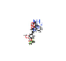 CCOc1cc([C@@H]2CC(=O)N([C@]3(CCC(N)=O)C=CC=CN3C)C2)ccc1OC(F)F